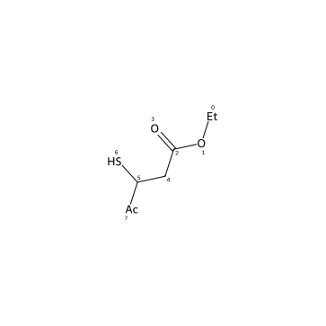 CCOC(=O)CC(S)C(C)=O